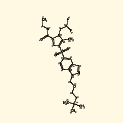 CCOC(=O)c1cc(S(=O)(=O)c2ccc3c(cnn3COCC[Si](C)(C)C)c2)c(C)n1CC(F)F